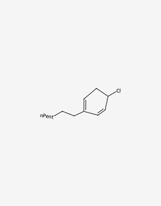 CCCCCCCC1=CCC(Cl)C=C1